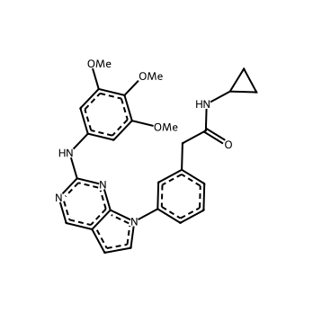 COc1cc(Nc2ncc3ccn(-c4cccc(CC(=O)NC5CC5)c4)c3n2)cc(OC)c1OC